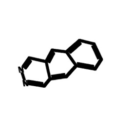 c1ccc2cc3cnncc3cc2c1